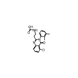 Cc1cccc(-n2c(CCNC(=O)O)nc3cccc(Cl)c3c2=O)c1C